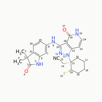 CC1(C)C(=O)Nc2cc(Nc3nn([C@@]4(CC#N)CCCCC4F)c4cc[nH]c(=O)c34)ccc21